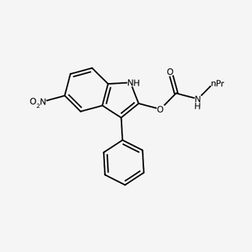 CCCNC(=O)Oc1[nH]c2ccc([N+](=O)[O-])cc2c1-c1ccccc1